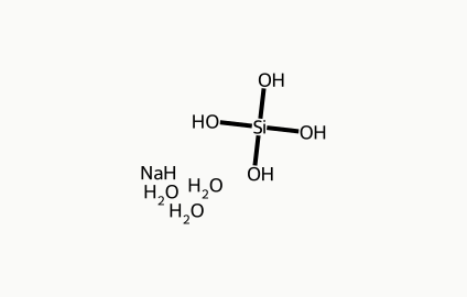 O.O.O.O[Si](O)(O)O.[NaH]